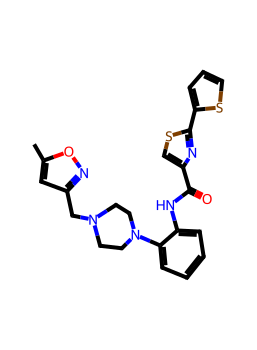 Cc1cc(CN2CCN(c3ccccc3NC(=O)c3csc(-c4cccs4)n3)CC2)no1